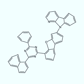 c1ccc(-c2nc(-c3cccc4ccccc34)nc(-c3cccc4c3oc3cc(-n5c6ccccc6c6cccnc65)ccc34)n2)cc1